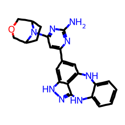 Nc1nc(-c2cc3c4c(n[nH]c4c2)Nc2ccccc2N3)cc(N2C3CCC2COC3)n1